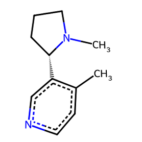 Cc1ccncc1[C@@H]1CCCN1C